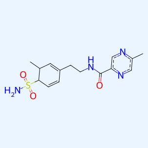 Cc1cnc(C(=O)NCCC2=CC(C)C(S(N)(=O)=O)C=C2)cn1